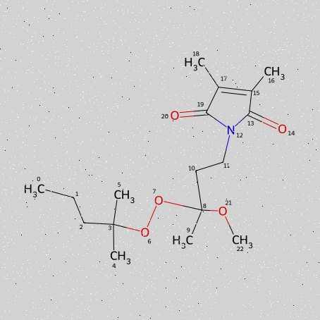 CCCC(C)(C)OOC(C)(CCN1C(=O)C(C)=C(C)C1=O)OC